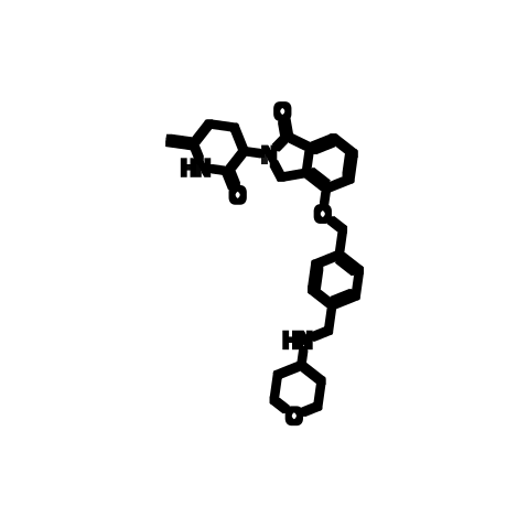 C=C1CCC(N2Cc3c(OCc4ccc(CNC5CCOCC5)cc4)cccc3C2=O)C(=O)N1